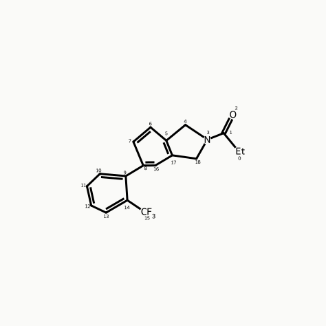 CCC(=O)N1Cc2ccc(-c3ccccc3C(F)(F)F)cc2C1